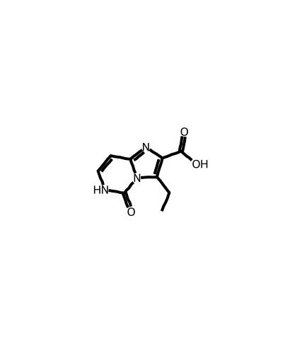 CCc1c(C(=O)O)nc2cc[nH]c(=O)n12